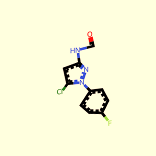 O=CNc1cc(Cl)n(-c2ccc(F)cc2)n1